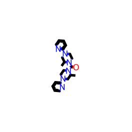 CC1CN(c2ccccn2)CCN1C(=O)N1CCN(c2ccccn2)CC1C